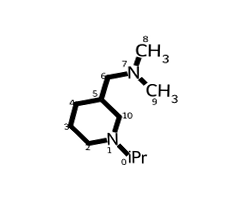 CC(C)N1CCCC(CN(C)C)C1